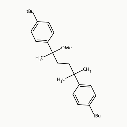 COC(C)(CCC(C)(C)c1ccc(C(C)(C)C)cc1)c1ccc(C(C)(C)C)cc1